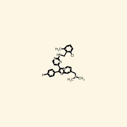 Cc1cccc(Cl)c1CNc1nccc(-c2c(-c3ccc(F)cc3)nc3cc(CN(C)C)ccn23)n1